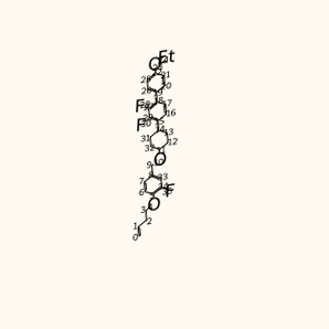 C=CCCOc1ccc(COC2CCC(c3ccc(-c4ccc(OCC)cc4)c(F)c3F)CC2)cc1F